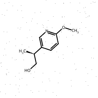 COc1ccc([C@H](C)CO)cn1